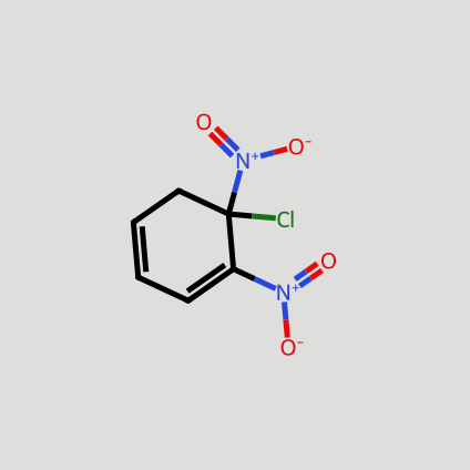 O=[N+]([O-])C1=CC=CCC1(Cl)[N+](=O)[O-]